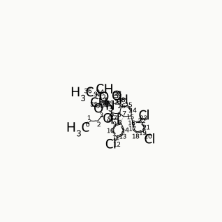 CCCCOC1[C@H]2[C@@H](c3ccc(Cl)cc3)[C@H](c3ccc(Cl)cc3Cl)C=C[C@@H]2C(=O)N1C(=O)OC(C)(C)C